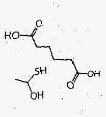 CC(O)S.O=C(O)CCCCC(=O)O